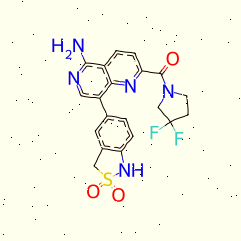 Nc1ncc(-c2ccc3c(c2)CS(=O)(=O)N3)c2nc(C(=O)N3CCC(F)(F)C3)ccc12